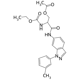 CCOC(=O)NC(COC(C)=O)C(=O)Nc1ccc2cnn(-c3cccc(C)c3)c2c1